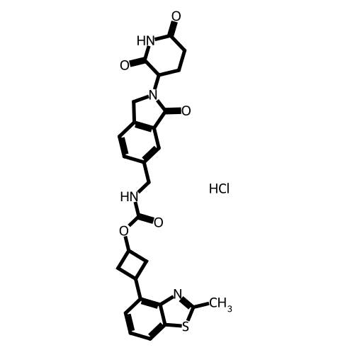 Cc1nc2c(C3CC(OC(=O)NCc4ccc5c(c4)C(=O)N(C4CCC(=O)NC4=O)C5)C3)cccc2s1.Cl